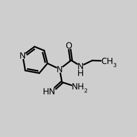 CCNC(=O)N(C(=N)N)c1ccncc1